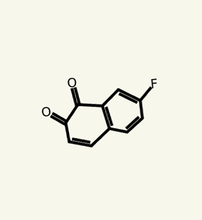 O=C1C=Cc2ccc(F)cc2C1=O